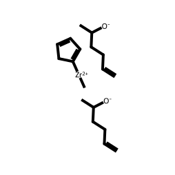 C=CCCC(C)[O-].C=CCCC(C)[O-].[CH3][Zr+2][C]1=CC=CC1